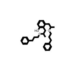 CC(Cc1cccc(O)c1CC(C)OCCCc1ccccc1)OCCCc1ccccc1